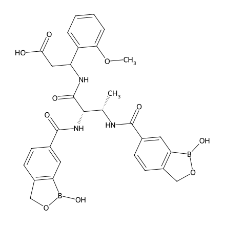 COc1ccccc1C(CC(=O)O)NC(=O)[C@@H](NC(=O)c1ccc2c(c1)B(O)OC2)[C@H](C)NC(=O)c1ccc2c(c1)B(O)OC2